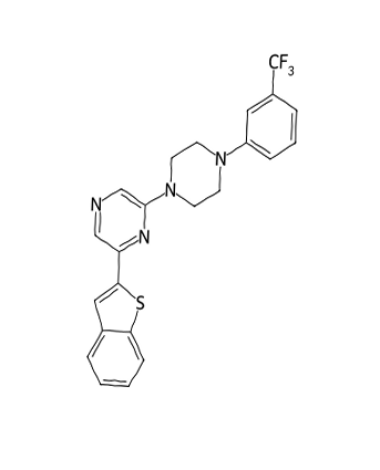 FC(F)(F)c1cccc(N2CCN(c3cncc(-c4cc5ccccc5s4)n3)CC2)c1